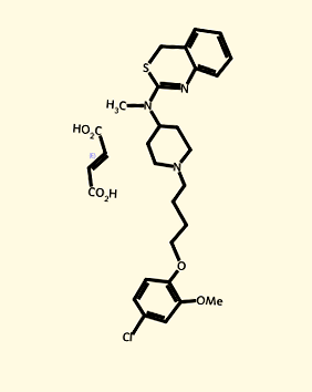 COc1cc(Cl)ccc1OCCCCN1CCC(N(C)C2=Nc3ccccc3CS2)CC1.O=C(O)/C=C/C(=O)O